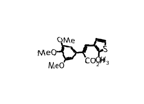 COc1cc(C(=Cc2ccsc2C)C(=O)O)cc(OC)c1OC